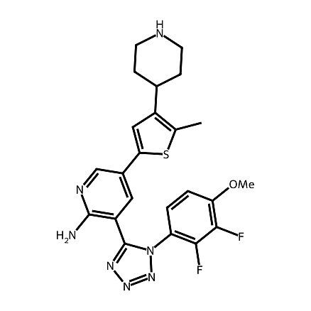 COc1ccc(-n2nnnc2-c2cc(-c3cc(C4CCNCC4)c(C)s3)cnc2N)c(F)c1F